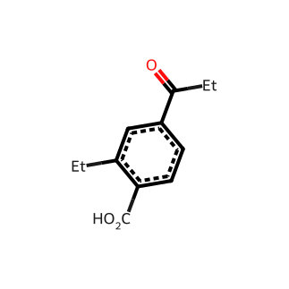 CCC(=O)c1ccc(C(=O)O)c(CC)c1